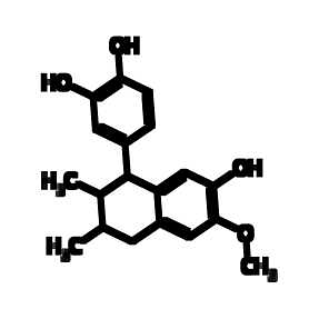 COc1cc2c(cc1O)C(c1ccc(O)c(O)c1)C(C)C(C)C2